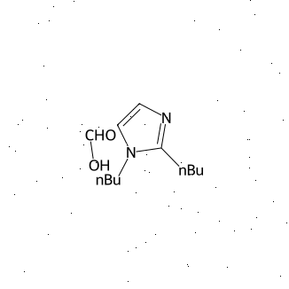 CCCCc1nccn1CCCC.O=CO